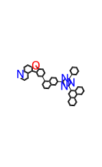 c1ccc(-c2nc(-c3ccc4c(-c5ccc6oc7ccc8ncccc8c7c6c5)cccc4c3)nc(-c3cc4ccccc4c4ccccc34)n2)cc1